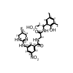 Cc1cc(C)c(O)c([C@@H](CC(=O)O)NC(=O)CNC(=O)c2cc(NC3=NCC(F)CN3)cc([N+](=O)[O-])c2)c1